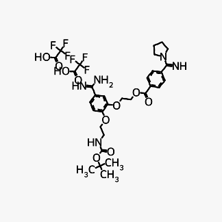 CC(C)(C)OC(=O)NCCOc1ccc(C(=N)N)cc1OCCOC(=O)c1ccc(C(=N)N2CCCC2)cc1.O=C(O)C(F)(F)F.O=C(O)C(F)(F)F